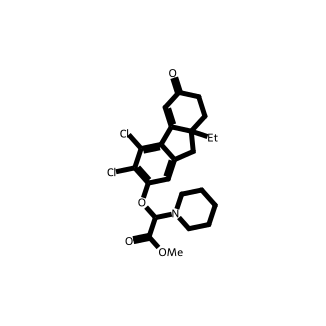 CCC12CCC(=O)C=C1c1c(cc(OC(C(=O)OC)N3CCCCC3)c(Cl)c1Cl)C2